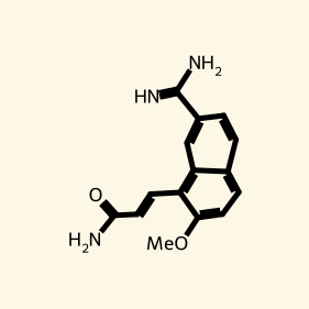 COc1ccc2ccc(C(=N)N)cc2c1/C=C/C(N)=O